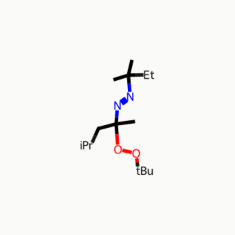 CCC(C)(C)N=NC(C)(CC(C)C)OOC(C)(C)C